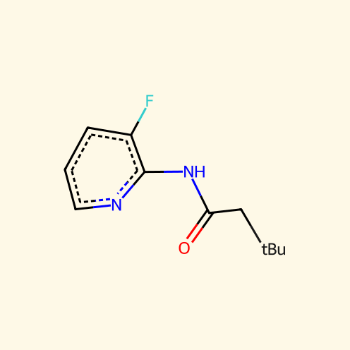 CC(C)(C)CC(=O)Nc1ncccc1F